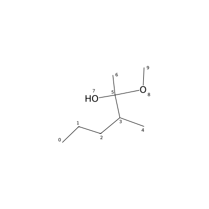 CCCC(C)C(C)(O)OC